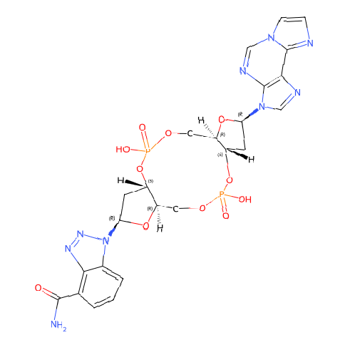 NC(=O)c1cccc2c1nnn2[C@H]1C[C@@H]2OP(=O)(O)OC[C@H]3O[C@@H](n4cnc5c4ncn4ccnc54)C[C@@H]3OP(=O)(O)OC[C@H]2O1